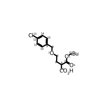 CCC(C)OC(=O)C(CCOCc1ccc(Cl)cc1)C(=O)O